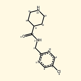 O=C(NCc1ncc(Cl)cn1)C1CCNCC1